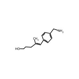 C/C(=C\c1ccc(CN)cc1)CCCO